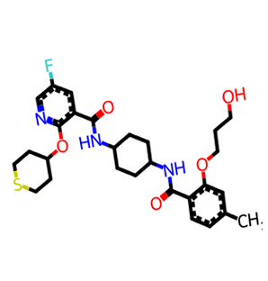 Cc1ccc(C(=O)NC2CCC(NC(=O)c3cc(F)cnc3OC3CCSCC3)CC2)c(OCCCO)c1